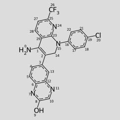 NC1=C(c2ccc3nc(O)cnc3c2)CN(c2ccc(Cl)cc2)c2nc(C(F)(F)F)ccc21